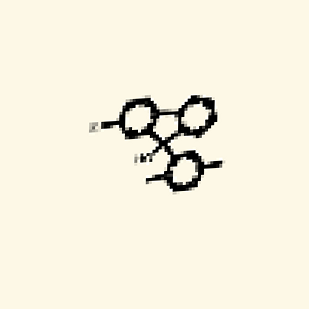 Cc1ccc(C)c(C2(O)c3ccccc3-c3ccc(Br)cc32)c1